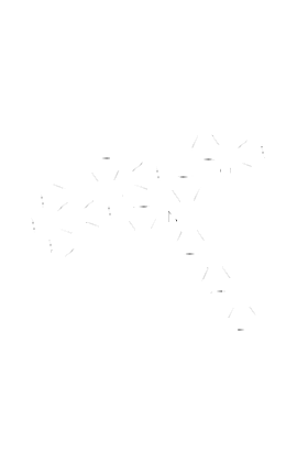 c1ccc(-c2ccc(-c3ccc(N(c4ccc(-c5cccc6c5oc5ccccc56)cc4)c4ccc5c(c4)C(c4ccccc4)(c4ccccc4)c4cc(-c6cccc7ccc8ccccc8c67)ccc4-5)cc3)cc2)cc1